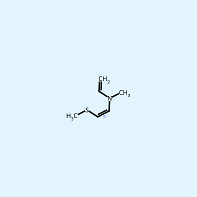 C=CN(C)/C=C\SC